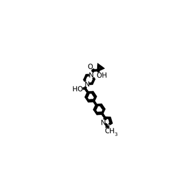 Cn1ccc(-c2ccc(-c3ccc(C(O)N4CCN(C(=O)C5(O)CC5)CC4)cc3)cc2)n1